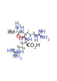 CC[C@H](C)[C@H](N)C(=O)N[C@@H](CCCNC(=N)N)C(=O)N[C@@H](CCCNC(=N)N)C(=O)O